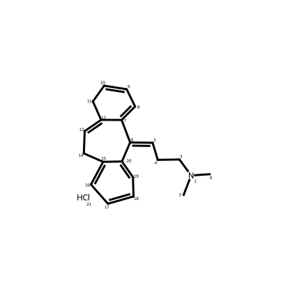 CN(C)CC/C=C1/C2=CC=CCC2=CCc2ccccc21.Cl